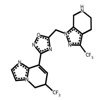 FC(F)(F)c1nn(Cc2nc(C3=CC(C(F)(F)F)Cn4ccnc43)no2)c2c1CCNC2